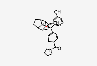 C=CCN1C2CCC1C1CCC2N1C(C1=CCC(C(=O)N2CCCC2)C=C1)c1cccc(O)c1